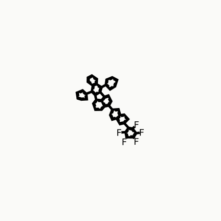 Fc1c(F)c(F)c(-c2ccc3cc(-c4ccc5c6c(cccc46)-c4c-5c(-c5ccccc5)c5ccccc5c4-c4ccccc4)ccc3c2)c(F)c1F